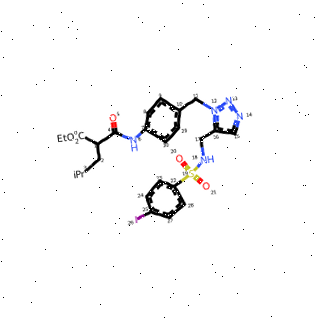 CCOC(=O)C(CC(C)C)C(=O)Nc1ccc(Cn2nncc2CNS(=O)(=O)c2ccc(I)cc2)cc1